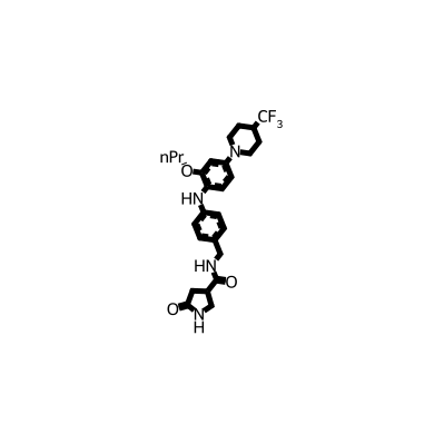 CCCOc1cc(N2CCC(C(F)(F)F)CC2)ccc1Nc1ccc(CNC(=O)C2CNC(=O)C2)cc1